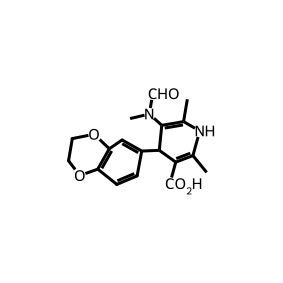 CC1=C(C(=O)O)C(c2ccc3c(c2)OCCO3)C(N(C)C=O)=C(C)N1